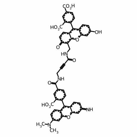 CN(C)c1ccc2c(-c3ccc(C(=O)NCC#CC(=O)NCc4c5oc6cc(O)ccc6c(-c6ccc(C(=O)O)cc6C(=O)O)c-5ccc4=O)cc3C(=O)O)c3ccc(=N)cc-3oc2c1